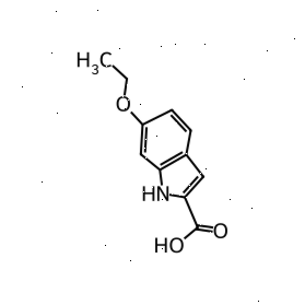 CCOc1ccc2cc(C(=O)O)[nH]c2c1